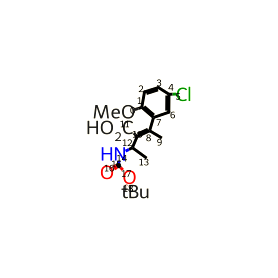 COc1ccc(Cl)cc1C(C)=C(C(=O)O)C(C)NC(=O)OC(C)(C)C